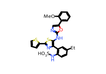 CCc1ccc(NS(=O)(=O)O)c(-c2nc(-c3cccs3)sc2Nc2ncc(-c3ccccc3OC)o2)c1